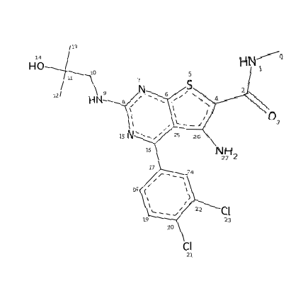 CNC(=O)c1sc2nc(NCC(C)(C)O)nc(-c3ccc(Cl)c(Cl)c3)c2c1N